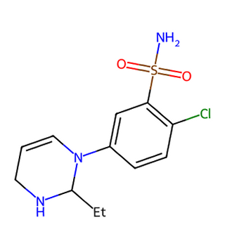 CCC1NCC=CN1c1ccc(Cl)c(S(N)(=O)=O)c1